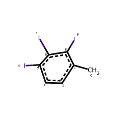 [CH2]c1ccc(I)c(I)c1I